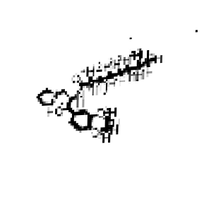 [2H]C([2H])([2H])C([2H])([2H])C([2H])([2H])C([2H])([2H])C([2H])([2H])C([2H])([2H])C([2H])([2H])C(=O)N[C@H](CN1CCCC1)[C@H](O)c1ccc2c(c1)OC([2H])([2H])C([2H])([2H])O2